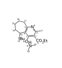 CCOC(=O)c1c(C)nc2c(c1O[SiH](C)C)C(C(C)(C)C)CCCC2